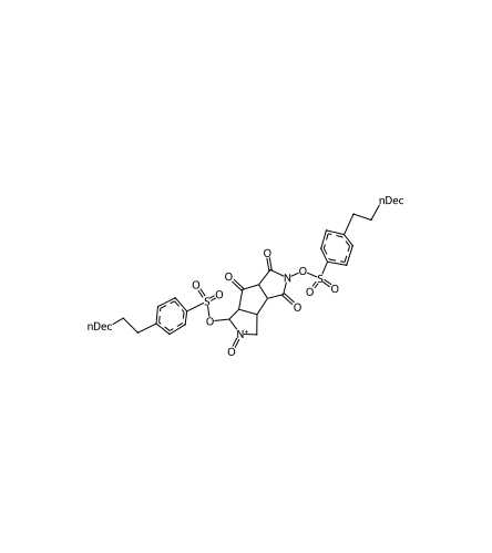 CCCCCCCCCCCCc1ccc(S(=O)(=O)OC2C3C(=O)C4C(=O)N(OS(=O)(=O)c5ccc(CCCCCCCCCCCC)cc5)C(=O)C4C3C[N+]2=O)cc1